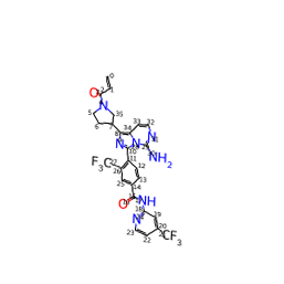 C=CC(=O)N1CCC(c2nc(-c3ccc(C(=O)Nc4cc(C(F)(F)F)ccn4)cc3C(F)(F)F)n3c(N)nccc23)C1